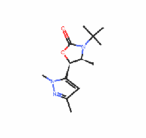 Cc1cc([C@H]2OC(=O)N(C(C)(C)C)[C@H]2C)n(C)n1